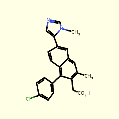 Cc1cc2cc(-c3cncn3C)ccc2c(-c2ccc(Cl)cc2)c1CC(=O)O